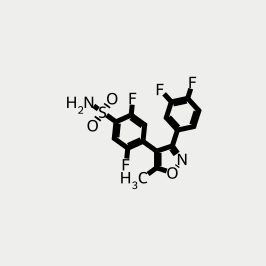 Cc1onc(-c2ccc(F)c(F)c2)c1-c1cc(F)c(S(N)(=O)=O)cc1F